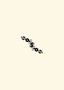 CN1CCN(c2ccc(C(=O)OC3COC4C(OC(=O)c5ccc(N6CCN(C)CC6)cc5)COC34)cc2)CC1